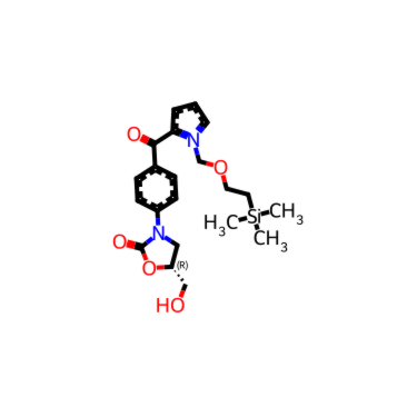 C[Si](C)(C)CCOCn1cccc1C(=O)c1ccc(N2C[C@H](CO)OC2=O)cc1